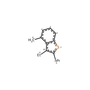 CCCc1sc2cccc(C)c2c1CC